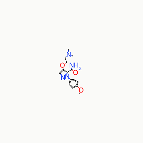 COc1ccc(-n2ncc(OCCN(C)C)c2C(N)=O)cc1